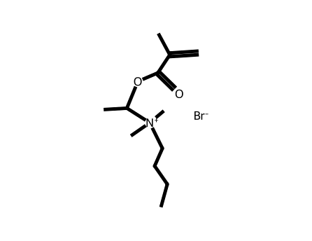 C=C(C)C(=O)OC(C)[N+](C)(C)CCCC.[Br-]